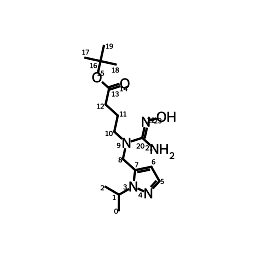 CC(C)n1nccc1CN(CCCC(=O)OC(C)(C)C)/C(N)=N/O